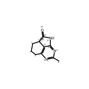 CC(=O)C12CCCc3nc(C)nc(c31)NC2=O